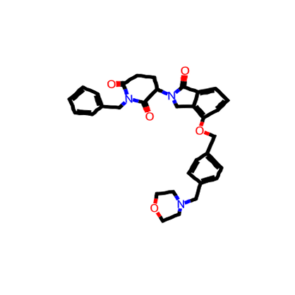 O=C1CCC(N2Cc3c(OCc4ccc(CN5CCOCC5)cc4)cccc3C2=O)C(=O)N1Cc1ccccc1